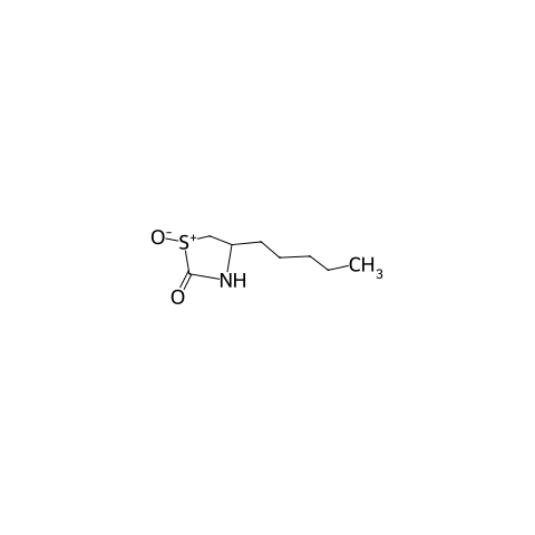 CCCCCC1C[S+]([O-])C(=O)N1